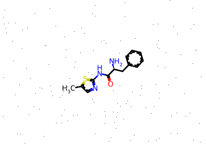 Cc1cnc(NC(=O)[C@@H](N)Cc2ccccc2)s1